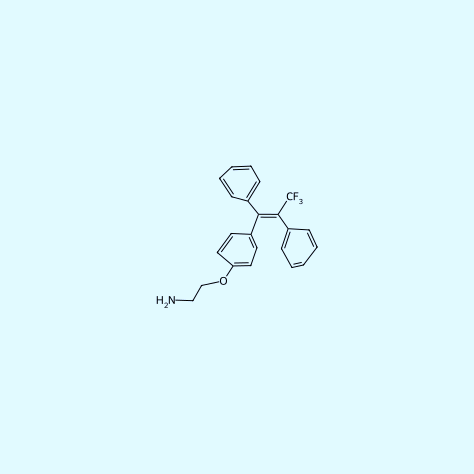 NCCOc1ccc(C(=C(c2ccccc2)C(F)(F)F)c2ccccc2)cc1